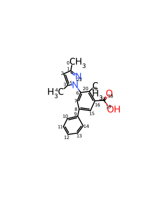 Cc1cc(C)n(-c2cc(-c3ccccc3)cc(C(=O)O)c2C)n1